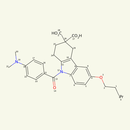 CC(C)CCOc1ccc2c(c1)c1c(n2C(=O)c2ccc(N(C)C)cc2)CCC(C(=O)O)(C(=O)O)C1